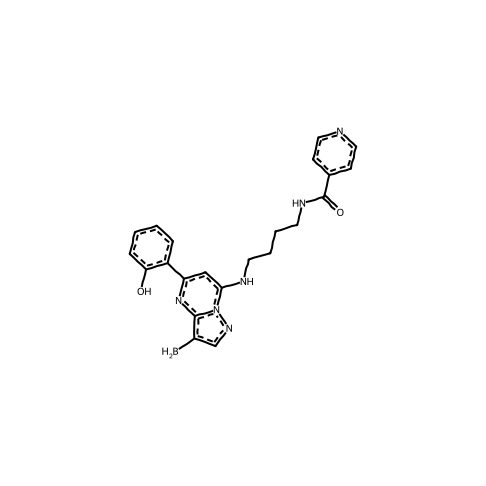 Bc1cnn2c(NCCCCNC(=O)c3ccncc3)cc(-c3ccccc3O)nc12